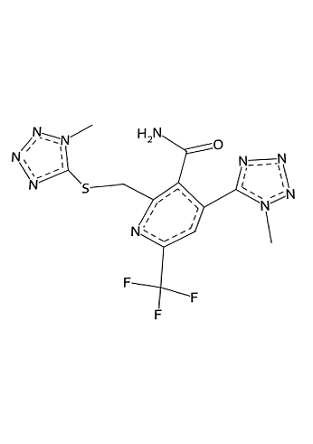 Cn1nnnc1SCc1nc(C(F)(F)F)cc(-c2nnnn2C)c1C(N)=O